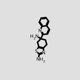 Nc1nc2c(s1)CC(N)(c1ccc3ccccc3n1)CC2